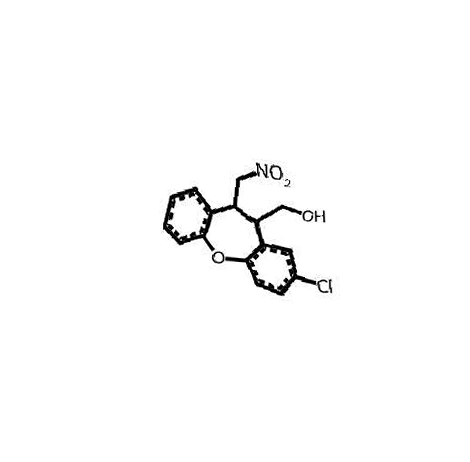 O=[N+]([O-])CC1c2ccccc2Oc2ccc(Cl)cc2C1CO